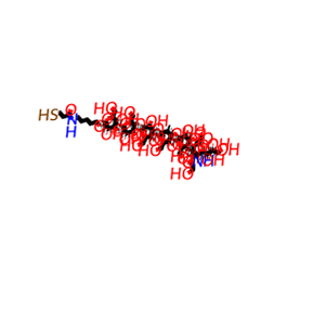 C[C@H]1C(O[C@@H]2OC(CO)[C@H](O)C(OC3(C(=O)O)C[C@@H](O)[C@@H](NC(=O)CO)C([C@H](O)[C@H](O)CO)O3)[C@@H]2O)[C@@H](O)C(CO)O[C@H]1O[C@@H]1C(O)[C@@H](O[C@H]2C(CO)O[C@@H](OC3[C@@H](O)C(CO)O[C@@H](OCCCCCNC(=O)CCS)[C@H]3O)[C@@H](O)C2O)OC(CO)[C@@H]1O